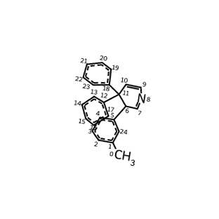 Cc1cccc(C2C=NC=CC2(c2ccccc2)c2ccccc2)c1